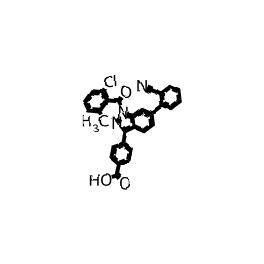 Cc1cccc(Cl)c1C(=O)n1nc(-c2ccc(C(=O)O)cc2)c2ccc(-c3ccccc3C#N)cc21